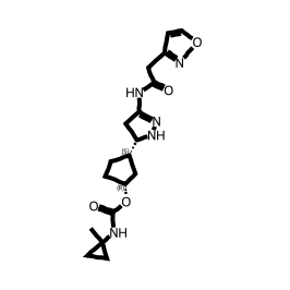 CC1(NC(=O)O[C@@H]2CC[C@H](C3CC(NC(=O)Cc4ccon4)=NN3)C2)CC1